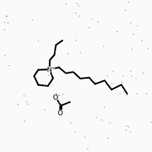 CC(=O)[O-].CCCCCCCCCC[N+]1(CCCC)CCCCC1